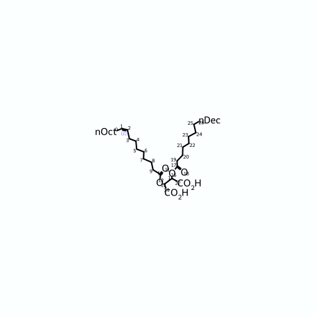 CCCCCCCC/C=C\CCCCCCCC(=O)OC(C(=O)O)C(OC(=O)CCCCCCCCCCCCCCCCC)C(=O)O